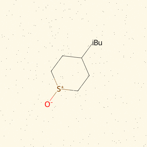 CCC(C)C1CC[S+]([O-])CC1